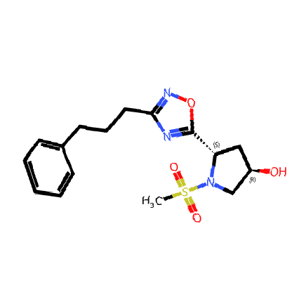 CS(=O)(=O)N1C[C@H](O)C[C@H]1c1nc(CCCc2ccccc2)no1